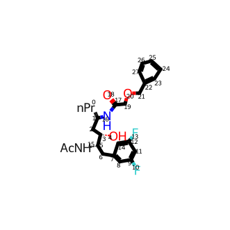 CCCC(C[C@H](O)[C@H](Cc1cc(F)cc(F)c1)NC(C)=O)NC(=O)COCc1ccccc1